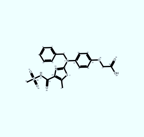 Cc1sc(N(Cc2ccccc2)c2ccc(OCC(=O)O)cc2)nc1C(=O)NS(C)(=O)=O